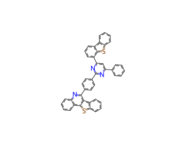 c1ccc(-c2cc(-c3cccc4c3sc3ccccc34)nc(-c3ccc(-c4nc5ccccc5c5sc6ccccc6c45)cc3)n2)cc1